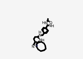 CC1NC(c2ccc(CNC3CCC(C#N)C4(/C=C\CCCCCCC4)N3)cc2)NO1